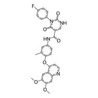 COc1cc2nccc(Oc3ccc(NC(=O)c4c[nH]c(=O)n(-c5ccc(F)cc5)c4=O)cc3C)c2cc1OC